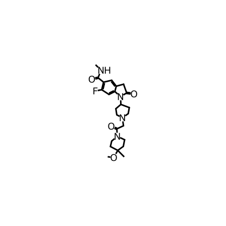 CNC(=O)c1cc2c(cc1F)N(C1CCN(CC(=O)N3CCC(C)(OC)CC3)CC1)C(=O)C2